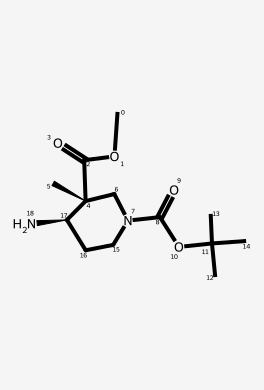 COC(=O)[C@]1(C)CN(C(=O)OC(C)(C)C)CC[C@H]1N